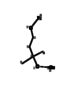 CCCCOC(C)(C)CCOCC